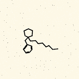 CCCCCCCCC1([CH]c2ccccc2)CCCCC1